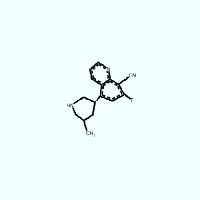 CC1CNC[C@@H](c2cc(F)c(C#N)c3ncccc23)C1